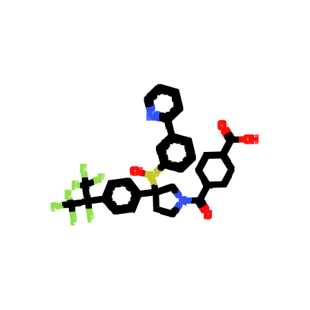 O=C(O)C1CCC(C(=O)N2CCC(c3ccc(C(F)(C(F)(F)F)C(F)(F)F)cc3)([S+]([O-])c3cccc(-c4ccccn4)c3)C2)CC1